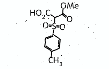 COC(=O)C(C(=O)O)S(=O)(=O)c1ccc(C)cc1